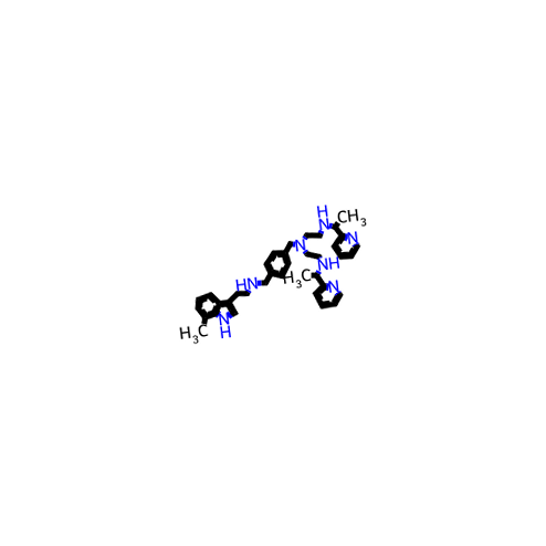 Cc1cccc2c(CCNCc3ccc(CN(CCNC(C)c4ccccn4)CCNC(C)c4ccccn4)cc3)c[nH]c12